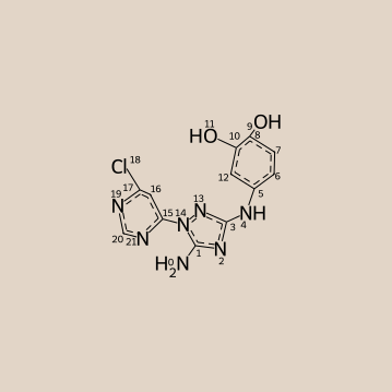 Nc1nc(Nc2ccc(O)c(O)c2)nn1-c1cc(Cl)ncn1